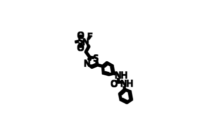 CS(=O)(=O)N(F)CCc1ncc(-c2ccc(NC(=O)Nc3ccccc3)cc2)s1